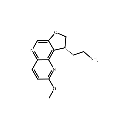 COc1ccc2ncc3c(c2n1)[C@@H](CCN)CO3